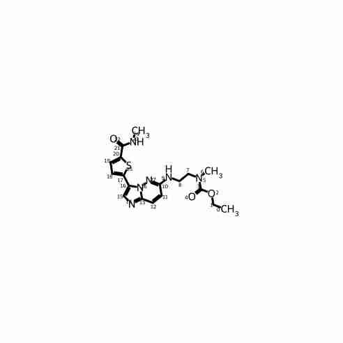 CCOC(=O)N(C)CCNc1ccc2ncc(-c3ccc(C(=O)NC)s3)n2n1